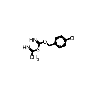 CC(=N)SC(=N)OCc1ccc(Cl)cc1